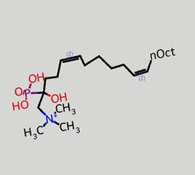 CCCCCCCC/C=C\CCCC/C=C\CCC(O)(C[N+](C)(C)C)P(=O)(O)O